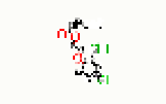 CCCCCC(=O)OCCOc1ccc(Cl)cc1.Cl